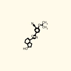 CC(C)Oc1ccc(-c2ncc(C3=CCCC4=C3CCC4O)o2)cc1C#N